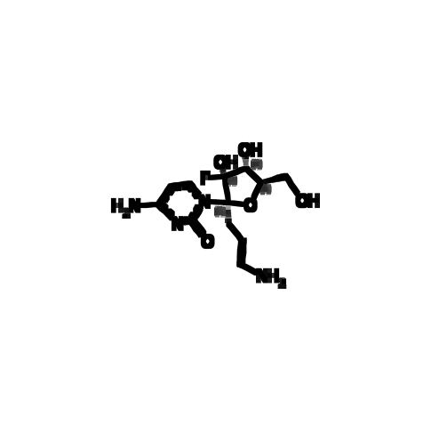 NC=CC[C@@]1(n2ccc(N)nc2=O)O[C@H](CO)[C@@H](O)[C@]1(O)F